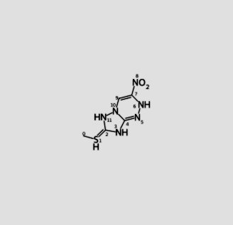 C[SH]=C1NC2=NNC([N+](=O)[O-])=CN2N1